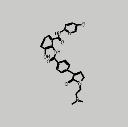 CN(C)CCN1CC=C(c2ccc(C(=O)Nc3c(O)cccc3C(=O)Nc3ccc(Cl)cn3)cc2)C1=O